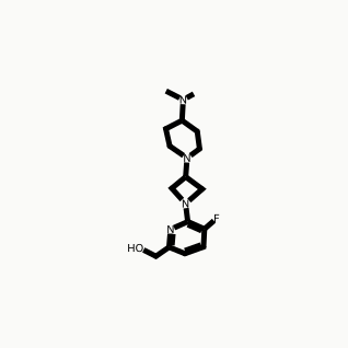 CN(C)C1CCN(C2CN(c3nc(CO)ccc3F)C2)CC1